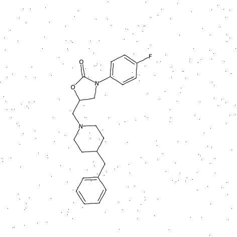 O=C1OC(CN2CCC(Cc3ccccc3)CC2)CN1c1ccc(F)cc1